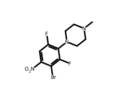 CN1CCN(c2c(F)cc([N+](=O)[O-])c(Br)c2F)CC1